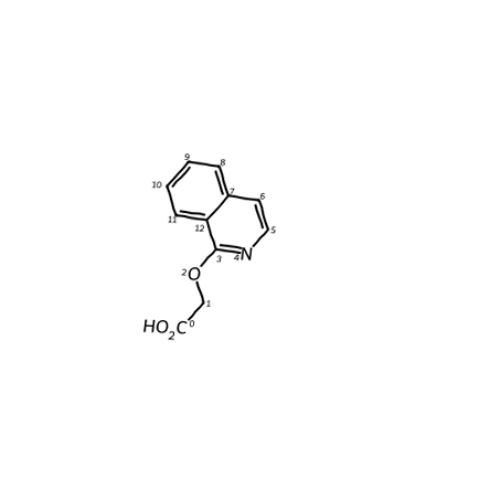 O=C(O)COc1nccc2ccccc12